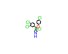 Cl.Clc1ccc(OC(c2ccc(Cl)c(Cl)c2)C2CNC2)cc1